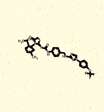 Cc1ccc(C(C)C)c(N2C(=O)CS/C2=N\C(=O)Nc2ccc(CNc3ncn(-c4ccc(OC(F)(F)F)cc4)n3)cc2)c1